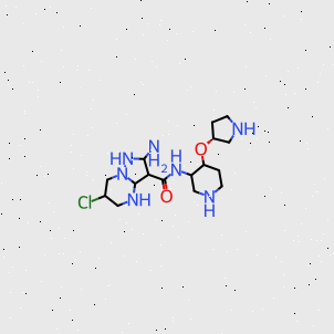 NC1NN2CC(Cl)CNC2C1C(=O)NC1CNCCC1O[C@H]1CCNC1